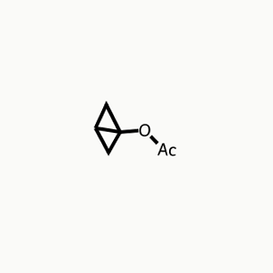 CC(=O)OC12CC1C2